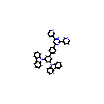 c1cncc(-c2cc(-c3ccc(-c4cc(-n5c6ccccc6c6ccccc65)cc(-n5c6ccccc6c6ccccc65)c4)cc3)nc(-c3cccnc3)n2)c1